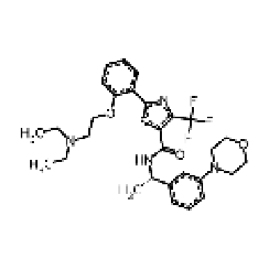 CCN(CC)CCOc1ccccc1-c1nc(C(F)(F)F)c(C(=O)N[C@@H](C)c2cccc(N3CCOCC3)c2)s1